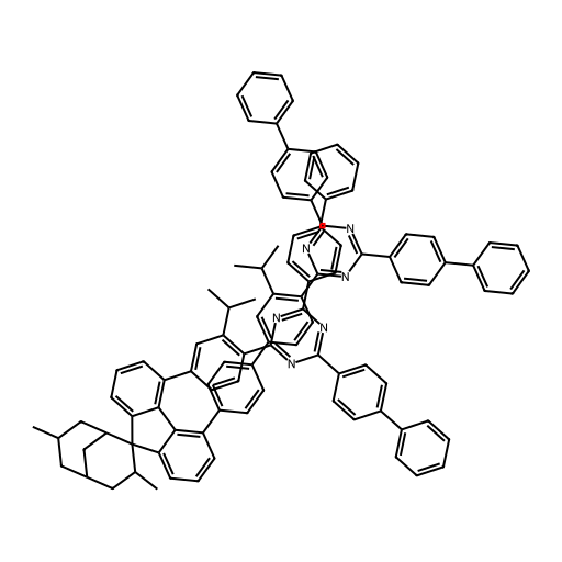 CC1CC2CC(C)C3(c4cccc(-c5ccc(-c6ccc(-c7nc(-c8ccc(-c9ccccc9)cc8)nc(-c8ccc(-c9ccccc9)cc8)n7)c(C(C)C)c6)cc5)c4-c4c(-c5ccc(-c6nc(-c7ccc(-c8ccccc8)cc7)nc(-c7ccc(-c8ccccc8)cc7)n6)c(C(C)C)c5)cccc43)C(C1)C2